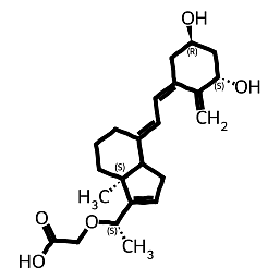 C=C1C(=CC=C2CCC[C@]3(C)C([C@H](C)OCC(=O)O)=CCC23)C[C@@H](O)C[C@@H]1O